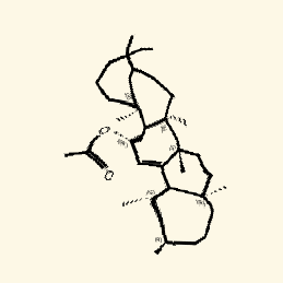 CC(=O)O[C@H]1C=C2C3[C@@H](C)[C@H](C)CC[C@]3(C)CC[C@@]2(C)[C@]2(C)CCC3C(C)(C)CCC[C@]3(C)C12